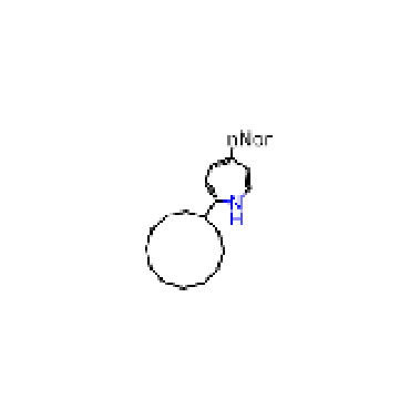 CCCCCCCCCC1=CC=C(C2CCCCCCCCCCC2)NC=C1